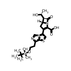 C[C@@H](O)[C@H]1C(=O)N2C(C(=O)O)=C(c3csc4c(CCO[Si](C)(C)C(C)(C)C)ncn34)C[C@H]12